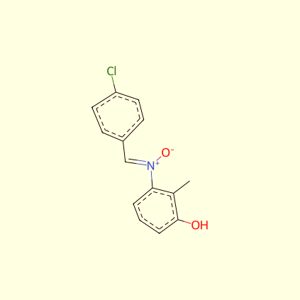 Cc1c(O)cccc1[N+]([O-])=Cc1ccc(Cl)cc1